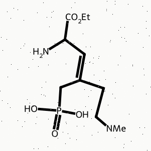 CCOC(=O)C(N)/C=C(/CCNC)CP(=O)(O)O